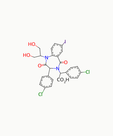 O=C(O)C(c1ccc(Cl)cc1)N1C(=O)c2cc(I)ccc2N(C(CO)CO)C(=O)C1c1ccc(Cl)cc1